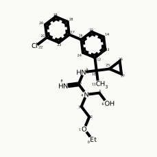 CCOCCN(CO)C(=N)NC(C)(c1cccc(-c2cccc(Cl)c2)c1)C1CC1